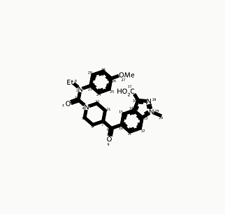 CCN(C(=O)N1CCC(C(=O)c2ccc3c(c2)c(C(=O)O)nn3C)CC1)c1ccc(OC)cc1